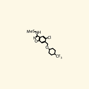 CSNc1noc2cc(COC3CCC(C(F)(F)F)CC3)c(Cl)cc12